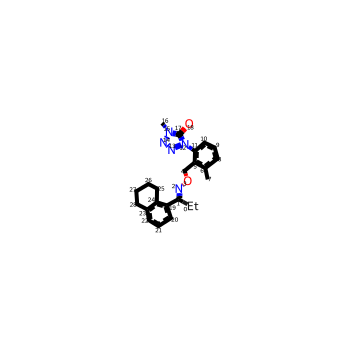 CCC(=NOCc1c(C)cccc1-n1nnn(C)c1=O)c1cccc2c1CCCC2